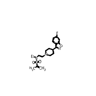 C=C(C)S(=O)(=O)N(CC)CCN1CCC(c2noc3cc(F)ccc23)CC1